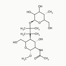 CO[C@@H]1OC(CO)[C@@H](C(C)(C)C(C)(C)O[C@@H]2OC(CO)[C@@H](C)C(O)C2O)[C@H](O)C1NC(C)=O